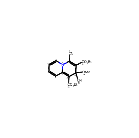 CCOC(=O)C1=C(C#N)N2C=CC=CC2=C(C(=O)OCC)C1(C#N)OC